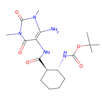 Cn1c(N)c(NC(=O)[C@@H]2CCCC[C@H]2NC(=O)OC(C)(C)C)c(=O)n(C)c1=O